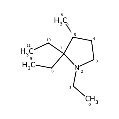 CCN1CC[C@@H](C)C1(CC)CC